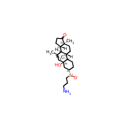 C[C@@H]1C[C@@]2(O)C[C@@H]([S+]([O-])CCCN)CC[C@]2(C)[C@H]2CC[C@]3(C)C(=O)CC[C@H]3[C@H]12